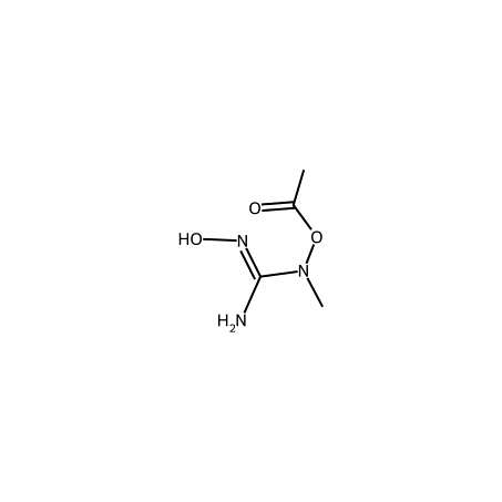 CC(=O)ON(C)C(N)=NO